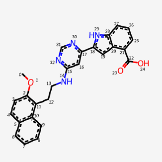 COc1ccc2ccccc2c1CCNc1cc(-c2cc3c(C(=O)O)cccc3[nH]2)ncn1